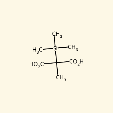 CC(C(=O)O)(C(=O)O)[Si](C)(C)C